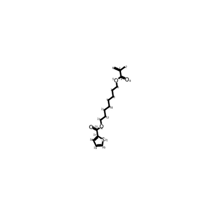 C=C(C)C(=O)OCCCCCCCCOC(=O)c1cccs1